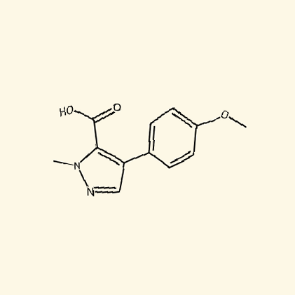 COc1ccc(-c2cnn(C)c2C(=O)O)cc1